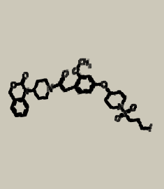 COc1cc(OC2CCN(S(=O)(=O)CCCI)CC2)ccc1CC(=O)N1CCC(N2C(=O)OCc3ccccc32)CC1